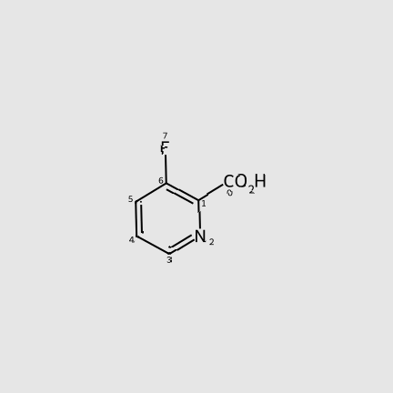 O=C(O)c1ncc[c]c1F